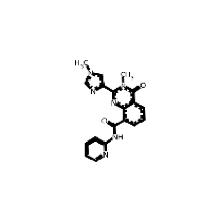 Cn1cnc(-c2nc3c(C(=O)NC4=C=C=CC=N4)cccc3c(=O)n2C)c1